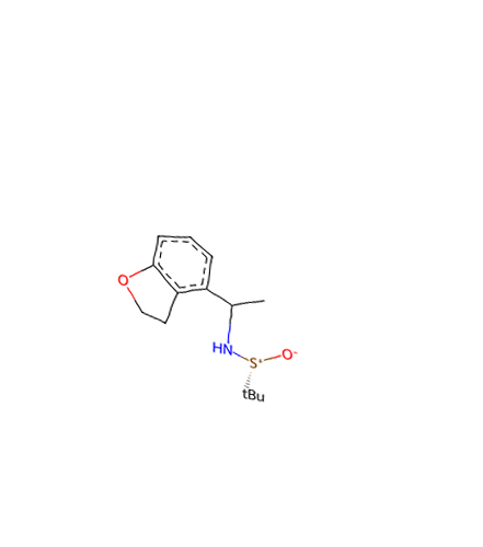 CC(N[S@+]([O-])C(C)(C)C)c1cccc2c1CCO2